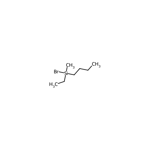 CCCC[Si](C)(Br)CC